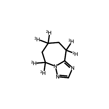 [2H]C1([2H])CC([2H])([2H])c2ncnn2C([2H])([2H])C1